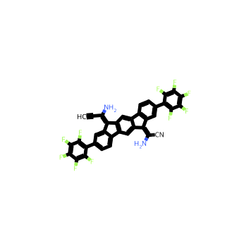 C#C/C(N)=C1\c2cc(-c3c(F)c(F)c(F)c(F)c3F)ccc2-c2cc3c(cc21)-c1ccc(-c2c(F)c(F)c(F)c(F)c2F)cc1/C3=C(/N)C#N